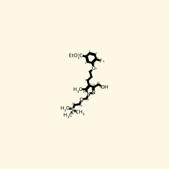 CCOC(=O)c1ccc(F)c(OCCCc2c(CO)nn(COCC[Si](C)(C)C)c2C)c1